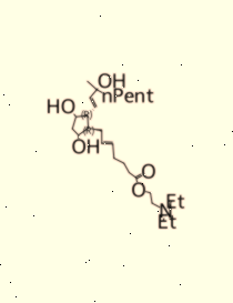 CCCCCC(C)(O)C=C[C@H]1C(O)CC(O)[C@@H]1CC=CCCCC(=O)OCCN(CC)CC